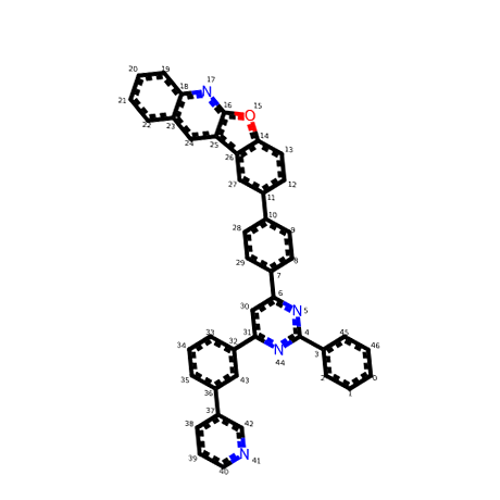 c1ccc(-c2nc(-c3ccc(-c4ccc5oc6nc7ccccc7cc6c5c4)cc3)cc(-c3cccc(-c4cccnc4)c3)n2)cc1